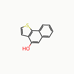 Oc1cc2ccccc2c2sccc12